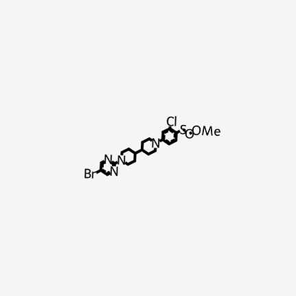 COOSc1ccc(N2CCC(C3CCN(c4ncc(Br)cn4)CC3)CC2)cc1Cl